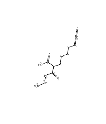 [N-]=[N+]=NCCCCC(C(=O)O)C(=O)NPN